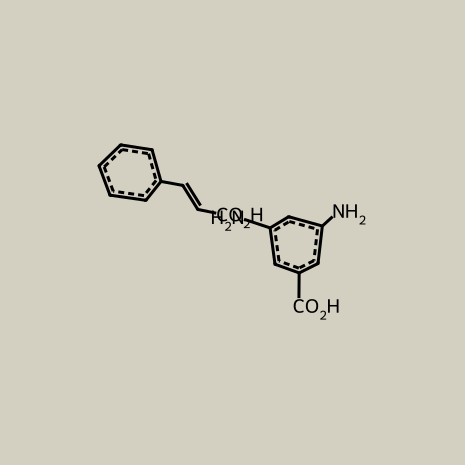 Nc1cc(N)cc(C(=O)O)c1.O=C(O)C=Cc1ccccc1